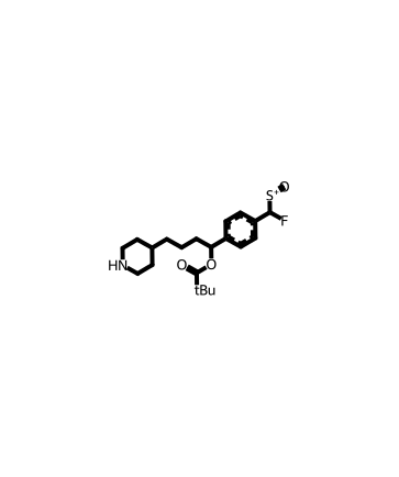 CC(C)(C)C(=O)OC(CCCC1CCNCC1)c1ccc(C(F)[S+]=O)cc1